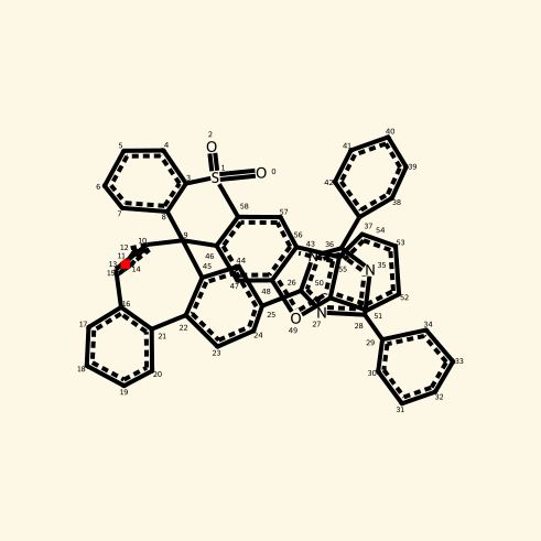 O=S1(=O)c2ccccc2C2(c3ccccc3-c3ccccc3-c3ccc(-c4nc(-c5ccccc5)nc(-c5ccccc5)n4)cc32)c2cc3oc4ccccc4c3cc21